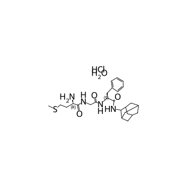 CSCC[C@@H](N)C(=O)NCC(=O)N[C@@H](Cc1ccccc1)C(=O)NC1C2CC3CC(C2)CC1C3.Cl.O